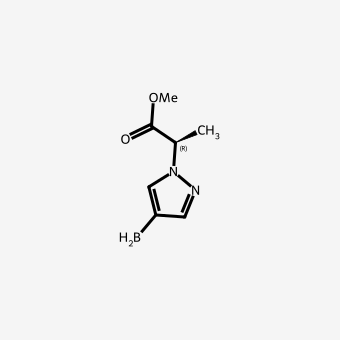 Bc1cnn([C@H](C)C(=O)OC)c1